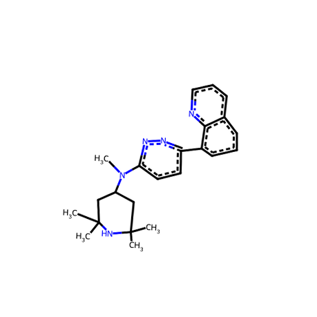 CN(c1ccc(-c2cccc3cccnc23)nn1)C1CC(C)(C)NC(C)(C)C1